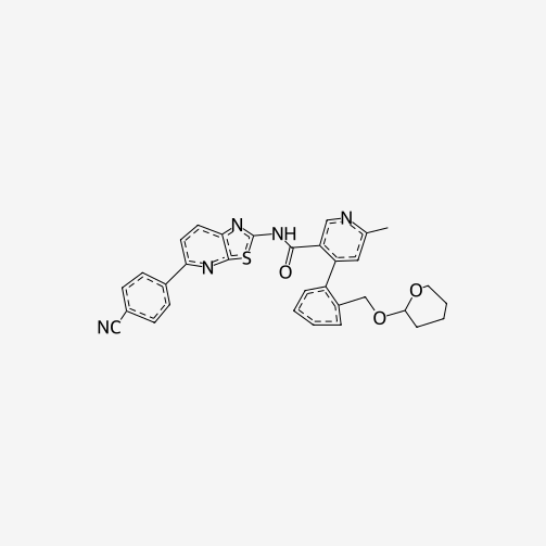 Cc1cc(-c2ccccc2COC2CCCCO2)c(C(=O)Nc2nc3ccc(-c4ccc(C#N)cc4)nc3s2)cn1